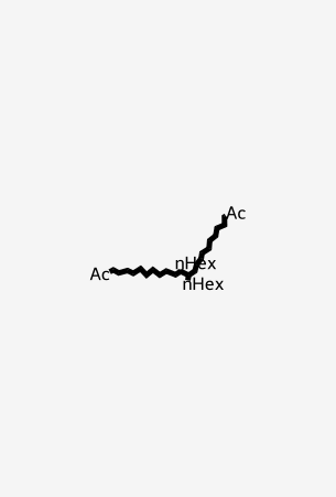 CCCCCCC(CCCCCCCCCCC(C)=O)C(CCCCCC)CCCCCCCCCCC(C)=O